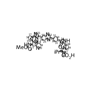 COC(=O)N[C@H](Cc1ccccn1)C(=O)N1CCC[C@H]1c1ncc(-c2ccc3nc(-c4ccc(-c5c[nH]c([C@@H]6CCCN6C(=O)[C@H](C(C)C)N(C)C(=O)O)n5)cc4)cnc3c2)[nH]1